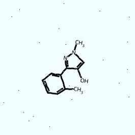 Cc1ccccc1-c1nn(C)cc1O